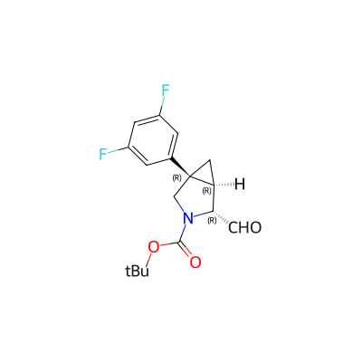 CC(C)(C)OC(=O)N1C[C@]2(c3cc(F)cc(F)c3)C[C@H]2[C@@H]1C=O